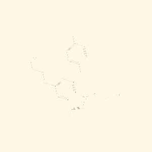 CCc1nn(CCOC)c2c(Nc3ccc(F)cn3)nc(NCCOC)nc12